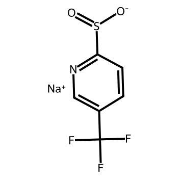 O=S([O-])c1ccc(C(F)(F)F)cn1.[Na+]